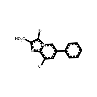 O=C(O)c1nc2c(Cl)cc(-c3ccccc3)cn2c1Br